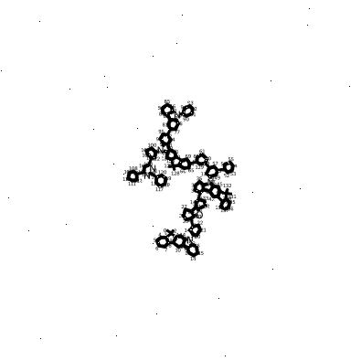 CC1(C)c2ccccc2-c2cc3c4ccccc4n(-c4cccc(-c5cccc6c5oc5ccc(-c7cccc8c7c7cc9c(cc7n8-c7cc(-c8ccccc8)cc(-c8cccc(-c%10ccc%11c(c%10)-c%10cc%12c%13cc(-c%14ccc%15c(c%14)c%14ccccc%14n%15-c%14ccccc%14)ccc%13n(-c%13cccc(-c%14cc(-c%15ccccc%15)nc(-c%15ccccc%15)n%14)c%13)c%12cc%10C%11(C)C)c8)c7)C(C)(C)c7ccccc7-9)cc56)c4)c3cc21